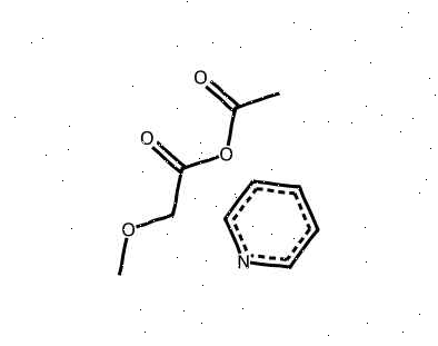 COCC(=O)OC(C)=O.c1ccncc1